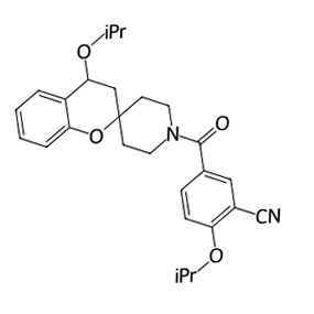 CC(C)Oc1ccc(C(=O)N2CCC3(CC2)CC(OC(C)C)c2ccccc2O3)cc1C#N